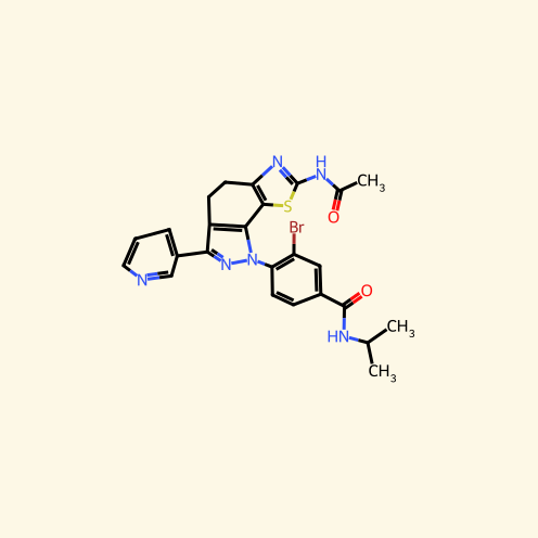 CC(=O)Nc1nc2c(s1)-c1c(c(-c3cccnc3)nn1-c1ccc(C(=O)NC(C)C)cc1Br)CC2